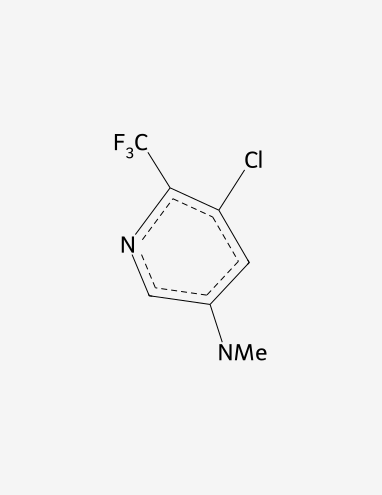 CNc1cnc(C(F)(F)F)c(Cl)c1